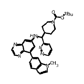 Cn1ccc2ccc(-c3cc(NC(c4cccnn4)C4CCN(C(=O)OC(C)(C)C)CC4)cc4nccnc34)cc21